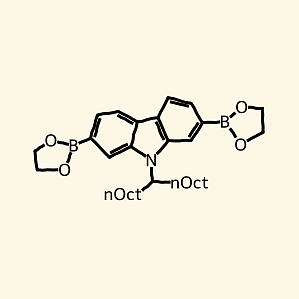 CCCCCCCCC(CCCCCCCC)n1c2cc(B3OCCO3)ccc2c2ccc(B3OCCO3)cc21